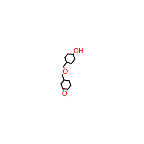 OC1CCC(COCC2CCC3OC3C2)CC1